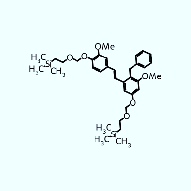 COc1cc(C=Cc2cc(OCOCC[Si](C)(C)C)cc(OC)c2Cc2ccccc2)ccc1OCOCC[Si](C)(C)C